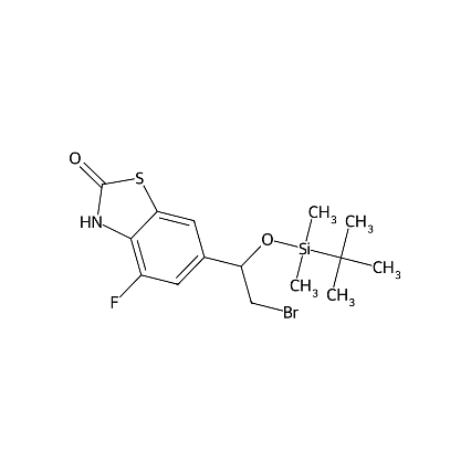 CC(C)(C)[Si](C)(C)OC(CBr)c1cc(F)c2[nH]c(=O)sc2c1